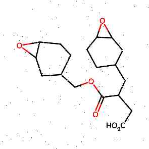 O=C(O)CC(CC1CCC2OC2C1)C(=O)OCC1CCC2OC2C1